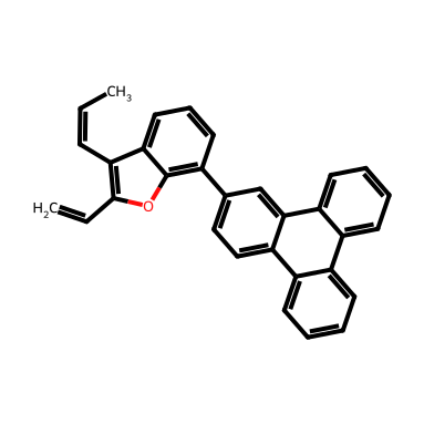 C=Cc1oc2c(-c3ccc4c5ccccc5c5ccccc5c4c3)cccc2c1/C=C\C